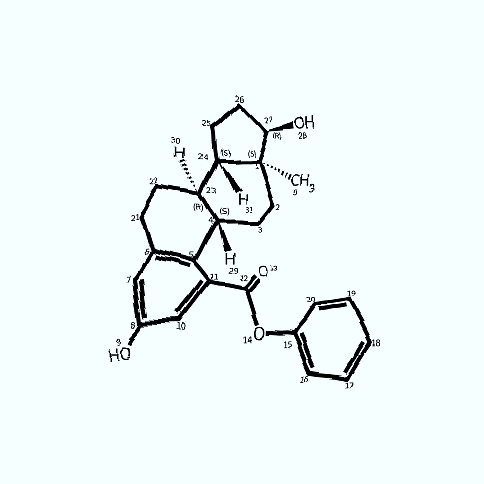 C[C@]12CC[C@@H]3c4c(cc(O)cc4C(=O)Oc4ccccc4)CC[C@H]3[C@@H]1CC[C@H]2O